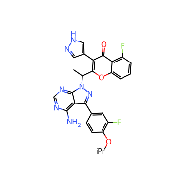 CC(C)Oc1ccc(-c2nn(C(C)c3oc4cccc(F)c4c(=O)c3-c3cn[nH]c3)c3ncnc(N)c23)cc1F